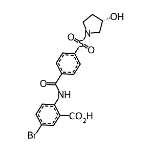 O=C(Nc1ccc(Br)cc1C(=O)O)c1ccc(S(=O)(=O)N2CC[C@H](O)C2)cc1